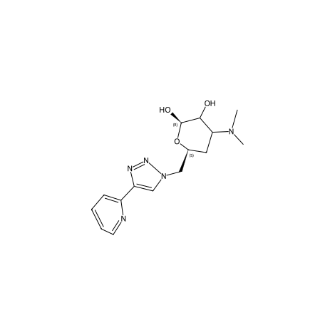 CN(C)C1C[C@@H](Cn2cc(-c3ccccn3)nn2)O[C@@H](O)C1O